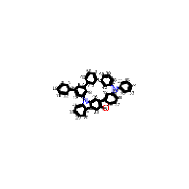 c1ccc(-c2cc(-c3ccccc3)cc(-n3c4ccccc4c4cc5oc6ccc(N(c7ccccc7)c7ccccc7)cc6c5cc43)c2)cc1